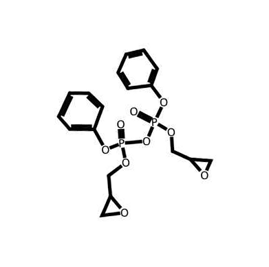 O=P(OCC1CO1)(Oc1ccccc1)OP(=O)(OCC1CO1)Oc1ccccc1